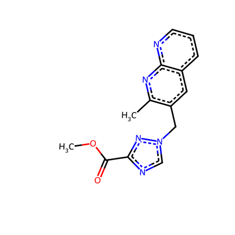 COC(=O)c1ncn(Cc2cc3cccnc3nc2C)n1